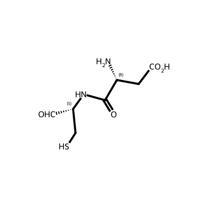 N[C@H](CC(=O)O)C(=O)N[C@@H](C=O)CS